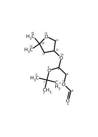 CC(C)(C)OC(COC=O)OC1COC(C)(C)C1